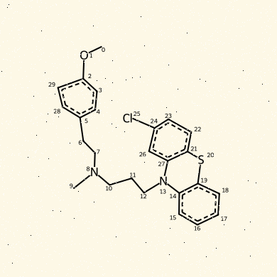 COc1ccc(CCN(C)CCCN2c3ccccc3Sc3ccc(Cl)cc32)cc1